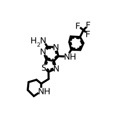 Nc1nc(Nc2ccc(C(F)(F)F)cc2)c2nc(CC3CCCCN3)sc2n1